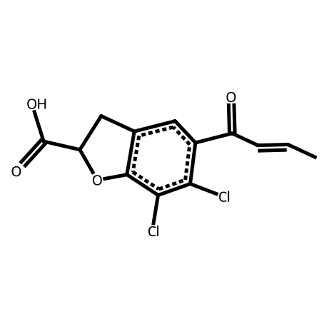 CC=CC(=O)c1cc2c(c(Cl)c1Cl)OC(C(=O)O)C2